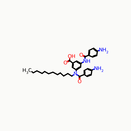 CCCCCCCCCCCCN(C(=O)c1ccc(N)cc1)c1cc(NC(=O)c2ccc(N)cc2)cc(C(=O)O)c1